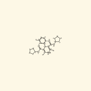 CC1=C(C(=O)OC2CCCC2)C(c2cccc(C)c2)C(C(=O)OC2CCCC2)=C(C)N1